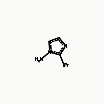 CC(C)c1nccn1N